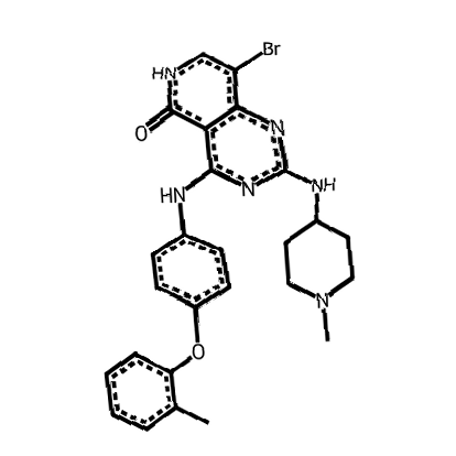 Cc1ccccc1Oc1ccc(Nc2nc(NC3CCN(C)CC3)nc3c(Br)c[nH]c(=O)c23)cc1